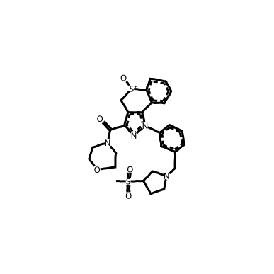 CS(=O)(=O)C1CCN(Cc2cccc(-n3nc(C(=O)N4CCOCC4)c4c3-c3ccccc3[S+]([O-])C4)c2)C1